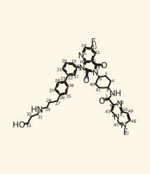 O=C(NC1CCC(n2c(=O)c3cc(F)cnc3n(-c3cccc(-c4ccc(CCCNCCCO)cc4)c3)c2=O)CC1)C1=C[N+]2CN(F)C=CC2=N1